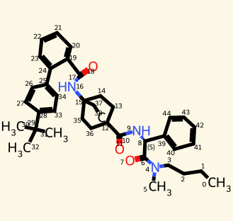 CCCCN(C)C(=O)[C@@H](NC(=O)C12CCC(NC(=O)c3ccccc3-c3ccc(C(C)(C)C)cc3)(CC1)CC2)c1ccccc1